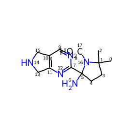 CC1(C)CCC(N)(c2ncc3c(n2)CNC3)N1C(=O)O